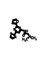 CN(C)CC(=O)Nc1cc(-c2nccs2)nc(-c2ccco2)n1